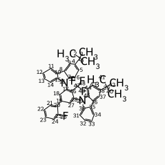 CC(C)(C)c1ccc2c(c1)c1ccccc1n2-c1cc(-c2ccccc2F)cc(-n2c3ccccc3c3cc(C(C)(C)C)ccc32)c1C(F)(F)F